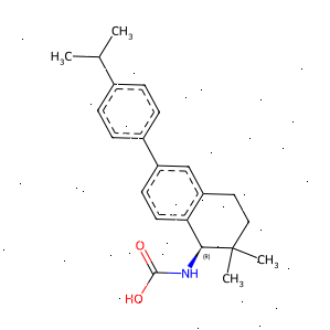 CC(C)c1ccc(-c2ccc3c(c2)CCC(C)(C)[C@H]3NC(=O)O)cc1